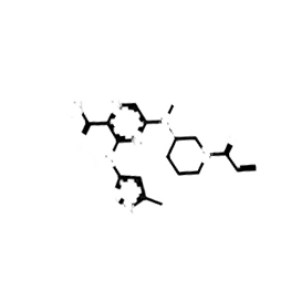 C=CC(=O)N1CCC[C@@H](N(C)c2cnc(C(N)=O)c(Nc3cc(C)ns3)n2)C1